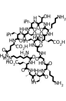 CC(C)C[C@H](NC(=O)CNC(=O)CNC(=O)[C@H](CCCCN)NC(=O)[C@H](CC(C)C)NC(=O)[C@H](C)NC(=O)[C@H](CCC(=O)O)NC(=O)[C@@H](N)CCCCN)C(=O)N[C@@H](CCC(=O)O)C(=O)N[C@@H](CCCCN)C(=O)N[C@H](C(=O)N[C@H](C(=O)N[C@@H](CO)C(=O)N[C@@H](CC(C)C)C(=O)N[C@@H](CCC(N)=O)C(=O)O)C(C)C)[C@@H](C)O